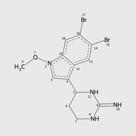 COn1cc(C2CCNC(=N)N2)c2cc(Br)c(Br)cc21